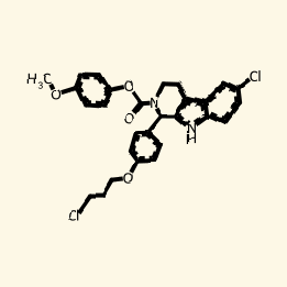 COc1ccc(OC(=O)N2CCc3c([nH]c4ccc(Cl)cc34)C2c2ccc(OCCCCl)cc2)cc1